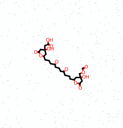 O=COCC1(O)CC(=O)OC(CCCC(=O)CCCC(=O)CCCC2CC(O)(CC(=O)O)CC(=O)O2)C1